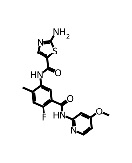 COc1ccnc(NC(=O)c2cc(NC(=O)c3cnc(N)s3)c(C)cc2F)c1